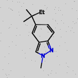 CCC(C)(C)c1ccc2nn(C)cc2c1